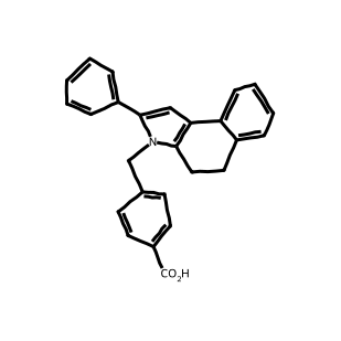 O=C(O)c1ccc(Cn2c(-c3ccccc3)cc3c2CCc2ccccc2-3)cc1